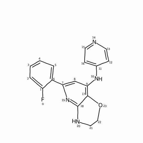 Fc1ccccc1-c1cc(Nc2ccncc2)c2c(n1)NCCO2